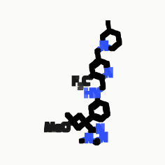 COC1(C)CC(c2cccc(NCc3ncc(CN4CCC[C@H](C)C4)cc3C(F)(F)F)c2)(c2nncn2C)C1